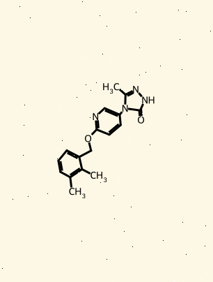 Cc1cccc(COc2ccc(-n3c(C)n[nH]c3=O)cn2)c1C